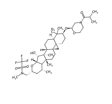 CC(C)C(=O)N1CCO[C@@H](O[C@H]2CC[C@]34C[C@]35CC[C@]3(C)C6[C@H](C)C[C@H](CN(C)S(=O)(=O)C(F)(F)F)O[C@@H]6[C@H](O)[C@@]3(C)[C@@H]5CC[C@H]4C2(C)C)C1